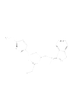 COc1ccc(OCC(CN(C)C2=NCc3ccccc32)OC(=O)CCl)cc1